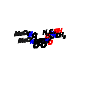 COc1nc(-c2cccc(-c3cccc(NC(=O)C4=CN(C)C(O)N(C)C4=O)c3C)c2C)cc2c1C(N1CC(OC)C1)CC2